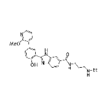 CCNCCCNC(=O)c1ccc2nc(-c3cc(-c4cccnc4OC)ccc3O)[nH]c2c1